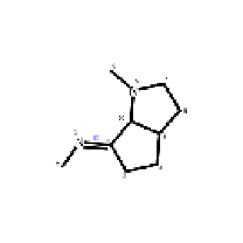 C/N=C1\CCC2CCN(C)C12